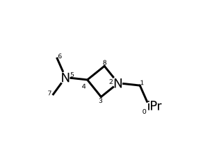 CC(C)CN1CC(N(C)C)C1